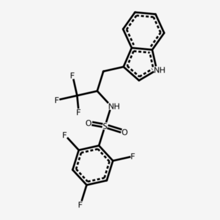 O=S(=O)(NC(Cc1c[nH]c2ccccc12)C(F)(F)F)c1c(F)cc(F)cc1F